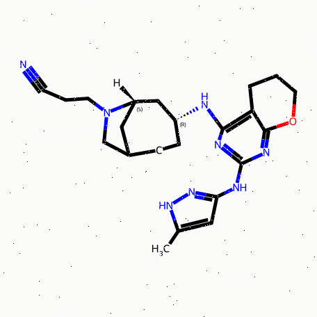 Cc1cc(Nc2nc(N[C@@H]3CCC4C[C@@H](C3)N(CCC#N)C4)c3c(n2)OCCC3)n[nH]1